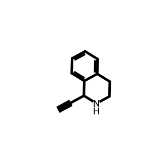 C#CC1NCCc2ccccc21